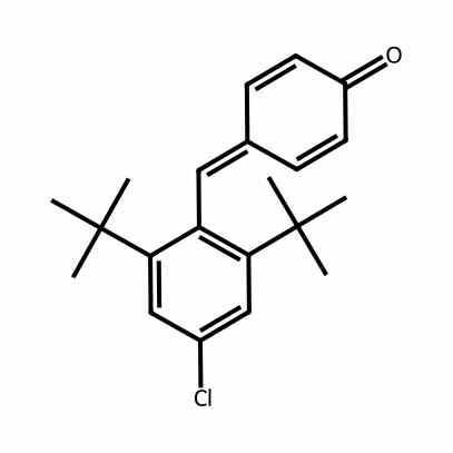 CC(C)(C)c1cc(Cl)cc(C(C)(C)C)c1C=C1C=CC(=O)C=C1